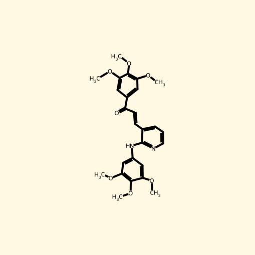 COc1cc(Nc2ncccc2/C=C/C(=O)c2cc(OC)c(OC)c(OC)c2)cc(OC)c1OC